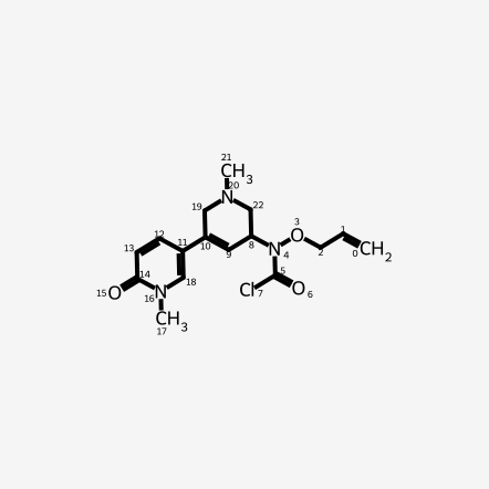 C=CCON(C(=O)Cl)C1C=C(c2ccc(=O)n(C)c2)CN(C)C1